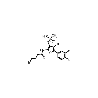 C[Si](C)(C)Oc1c(NC(=O)CCCBr)oc(-c2ccc(Cl)c(Cl)c2)c1O